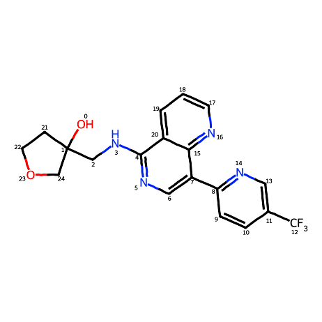 OC1(CNc2ncc(-c3ccc(C(F)(F)F)cn3)c3ncccc23)CCOC1